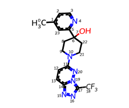 Cc1ccnc(C2(O)CCN(c3ccc4nnc(C(F)(F)F)n4n3)CC2)c1